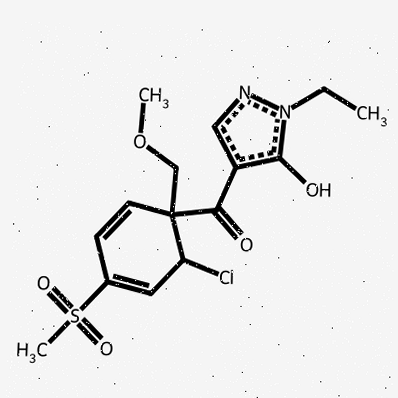 CCn1ncc(C(=O)C2(COC)C=CC(S(C)(=O)=O)=CC2Cl)c1O